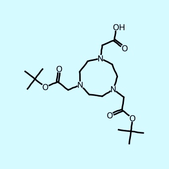 CC(C)(C)OC(=O)CN1CCN(CC(=O)O)CCN(CC(=O)OC(C)(C)C)CC1